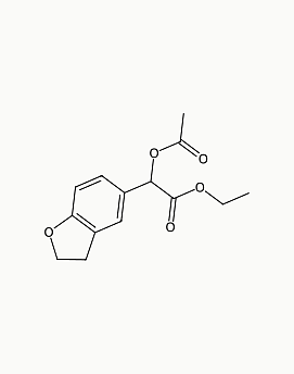 CCOC(=O)C(OC(C)=O)c1ccc2c(c1)CCO2